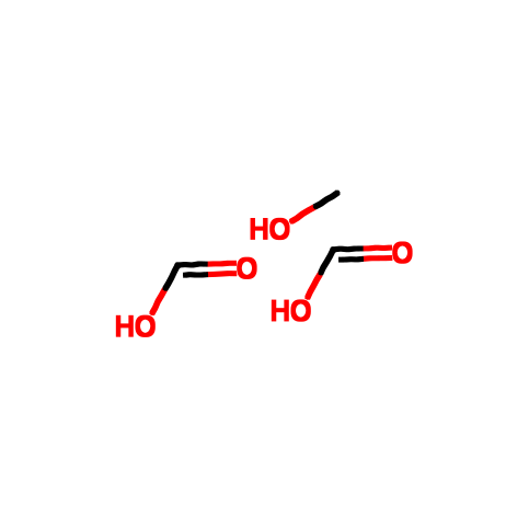 CO.O=CO.O=CO